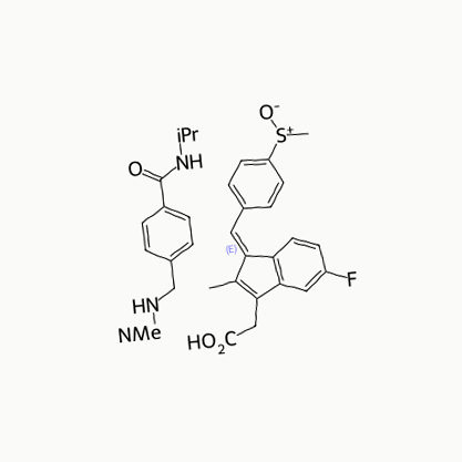 CC1=C(CC(=O)O)c2cc(F)ccc2/C1=C\c1ccc([S+](C)[O-])cc1.CNNCc1ccc(C(=O)NC(C)C)cc1